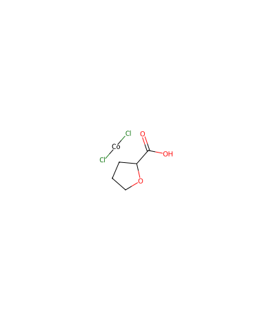 O=C(O)C1CCCO1.[Cl][Co][Cl]